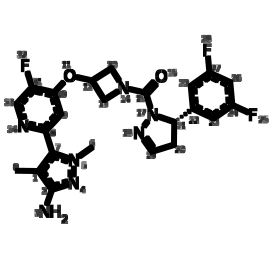 Cc1c(N)nn(C)c1-c1cc(OC2CN(C(=O)N3N=CC[C@H]3c3cc(F)cc(F)c3)C2)c(F)cn1